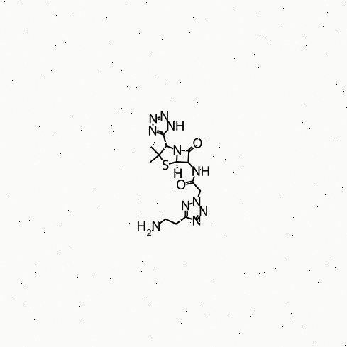 CC1(C)S[C@@H]2C(NC(=O)Cn3nnc(CCN)n3)C(=O)N2C1c1nnn[nH]1